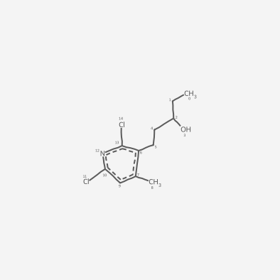 CCC(O)CCc1c(C)cc(Cl)nc1Cl